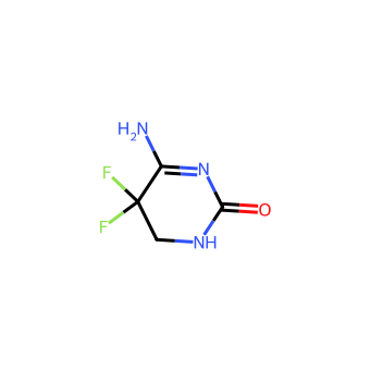 NC1=NC(=O)NCC1(F)F